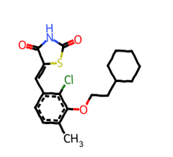 Cc1ccc(/C=C2\SC(=O)NC2=O)c(Cl)c1OCCC1CCCCC1